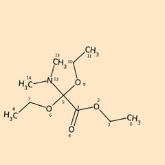 CCOC(=O)C(OCC)(OCC)N(C)C